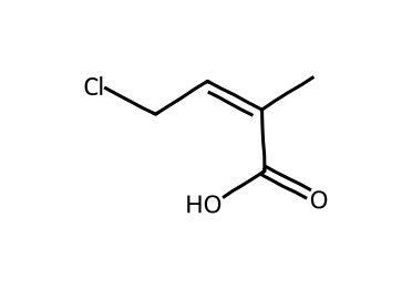 CC(=CCCl)C(=O)O